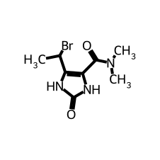 CC(Br)c1[nH]c(=O)[nH]c1C(=O)N(C)C